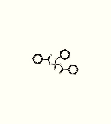 O=C(OP(=O)(OC(=O)c1ccccc1)Oc1ccccc1)c1ccccc1